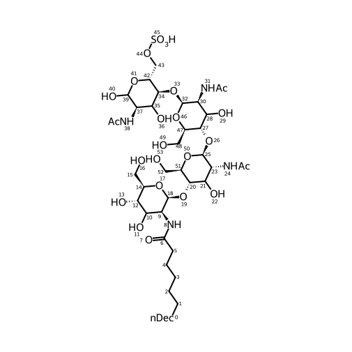 CCCCCCCCCCCCCCCC(=O)N[C@H]1C(O)[C@H](O)[C@@H](CO)O[C@H]1O[C@H]1C(O)[C@@H](NC(C)=O)[C@H](O[C@H]2C(O)[C@H](NC(C)=O)[C@H](O[C@H]3C(O)[C@@H](NC(C)=O)C(O)O[C@@H]3COS(=O)(=O)O)O[C@@H]2CO)O[C@@H]1CO